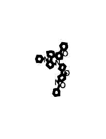 c1ccc(-c2nc3cc4c(cc3o2)oc2ccc(N(c3ccc5c(c3)oc3ccccc35)c3cccc5c3c3ccccc3n5-c3ccccc3)cc24)cc1